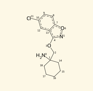 NC1(COc2noc3ccc(Cl)cc23)CCCCC1